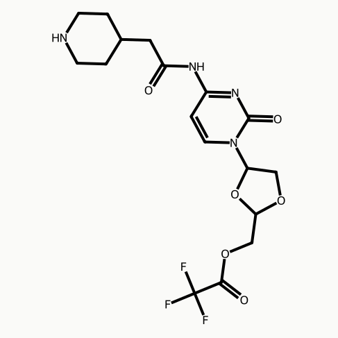 O=C(CC1CCNCC1)Nc1ccn(C2COC(COC(=O)C(F)(F)F)O2)c(=O)n1